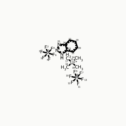 F[P-](F)(F)(F)(F)F.F[P-](F)(F)(F)(F)F.[CH3][U+2]([CH3])([CH3])[CH3].c1ccc2[nH]nnc2c1